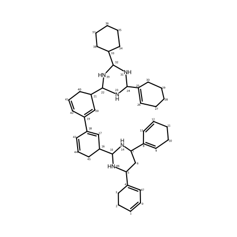 C1=CCCC(C2CC(C3=CCCC=C3)NC(C3C=C(C4=CC(C5NC(C6=CCCCC6)NC(C6CCCCC6)N5)CC=C4)C=CC3)N2)=C1